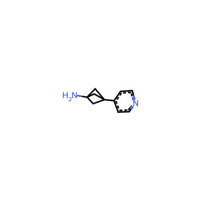 NC12CC(c3ccncc3)(C1)C2